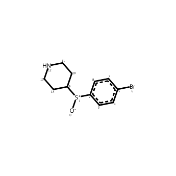 [O-][S+](c1ccc(Br)cc1)C1CCNCC1